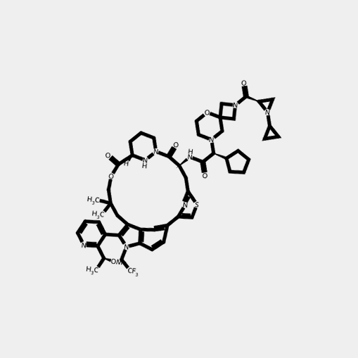 CO[C@@H](C)c1ncccc1-c1c2c3cc(ccc3n1CC(F)(F)F)-c1csc(n1)C[C@H](NC(=O)[C@H](C1CCCC1)N1CCOC3(CN(C(=O)[C@H]4CN4C4CC4)C3)C1)C(=O)N1CCC[C@H](N1)C(=O)OCC(C)(C)C2